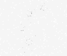 O=C(OCc1cc(C(F)(F)F)cc(C(F)(F)F)c1)N1CCC(c2nnc(NCc3cnn[nH]3)o2)CC1